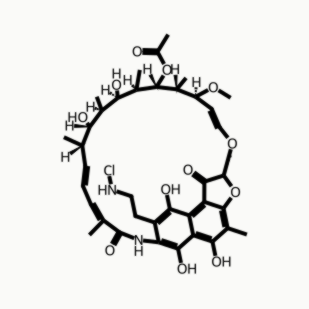 CO[C@H]1/C=C/O[C@@]2(C)Oc3c(C)c(O)c4c(O)c(c(CCNCl)c(O)c4c3C2=O)NC(=O)/C(C)=C\C=C\[C@H](C)[C@H](O)[C@@H](C)[C@@H](O)[C@@H](C)[C@H](OC(C)=O)[C@@H]1C